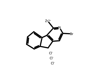 Brc1cc2c([c]([Zr+3])n1)-c1ccccc1C2.[Cl-].[Cl-].[Cl-]